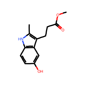 COC(=O)CCc1c(C)[nH]c2ccc(O)cc12